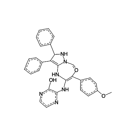 COc1ccc(/C(C)=C(/NC2=C(c3ccccc3)C(c3ccccc3)NN2C=O)Nc2nccnc2O)cc1